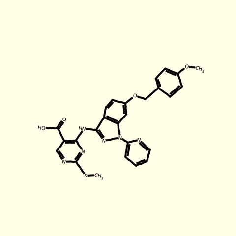 COc1ccc(COc2ccc3c(Nc4nc(SC)ncc4C(=O)O)nn(-c4ccccn4)c3c2)cc1